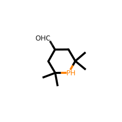 CC1(C)CC(C=O)CC(C)(C)P1